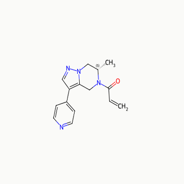 C=CC(=O)N1Cc2c(-c3ccncc3)cnn2C[C@@H]1C